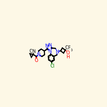 N#CC1(C(=O)N2CCC(c3nnc4n3-c3ccc(Cl)cc3CN(C3CC(O)(C(F)(F)F)C3)C4)CC2)CC1